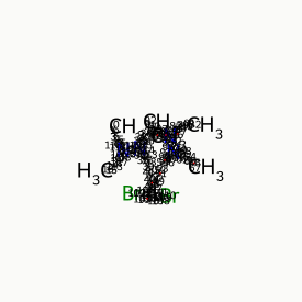 CCCCc1ccc(N(c2ccc(CCCC)cc2)c2ccc(N(c3ccc(CCCC)cc3)c3ccc(CCCCCCCCC4(CCCCCCCCc5ccc(N(c6ccc(CCCC)cc6)c6ccc(N(c7ccc(CCCC)cc7)c7ccc(CCCC)cc7)cc6)cc5)c5cc(Br)ccc5-c5ccc(Br)cc54)cc3)cc2)cc1